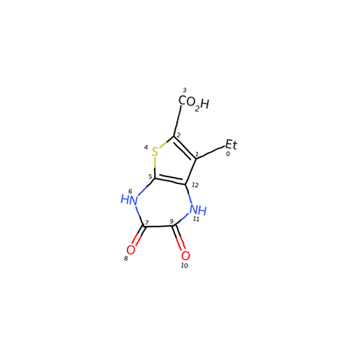 CCc1c(C(=O)O)sc2[nH]c(=O)c(=O)[nH]c12